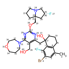 Cc1cc(Br)c(F)c2c1CCCC2(O)Cc1nc(OC[C@@]23CCCN2C[C@H](F)C3)nc(N2CCCOCC2)c1CO